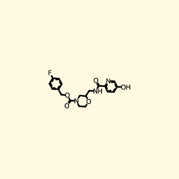 O=C(NCC1CN(C(=O)OCc2ccc(F)cc2)CCO1)c1ccc(O)cn1